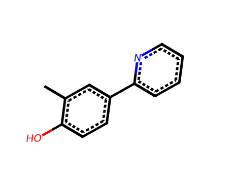 Cc1cc(-c2ccccn2)ccc1O